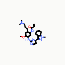 C=CC(=O)Nc1cc(Nc2nccc(-c3nn(C)c4ccccc34)n2)c(OC)cc1CCCN(C)C